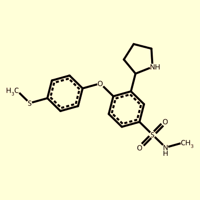 CNS(=O)(=O)c1ccc(Oc2ccc(SC)cc2)c(C2CCCN2)c1